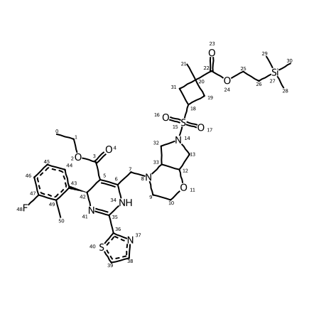 CCOC(=O)C1=C(CN2CCOC3CN(S(=O)(=O)C4CC(C)(C(=O)OCC[Si](C)(C)C)C4)CC32)NC(c2nccs2)=N[C@H]1c1cccc(F)c1C